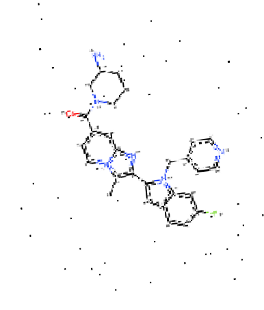 Cc1c(-c2cc3ccc(F)cc3n2Cc2ccncc2)nc2cc(C(=O)N3CCCC(N)C3)ccn12